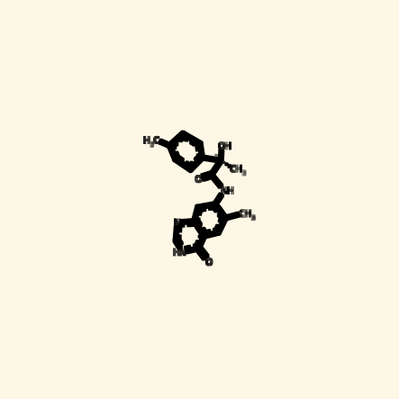 Cc1ccc([C@@](C)(O)C(=O)Nc2cc3nc[nH]c(=O)c3cc2C)cc1